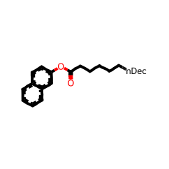 CCCCCCCCCCCCCCCC(=O)Oc1ccc2ccccc2c1